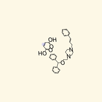 C(=Cc1ccccc1)CN1CCN(CCOC(c2ccccc2)c2ccccc2)CC1.O=C(O)/C=C\C(=O)O